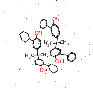 CC(C)(c1ccc(O)c(-c2ccccc2)c1)c1ccc(O)c(-c2ccccc2)c1.CC(C)(c1ccc(O)c(C2CCCCC2)c1)c1ccc(O)c(C2CCCCC2)c1